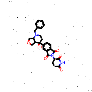 O=C1CCC(N2C(=O)c3ccc(C4(O)CCN(Cc5ccccc5)C5COCC54)cc3C2=O)C(=O)N1